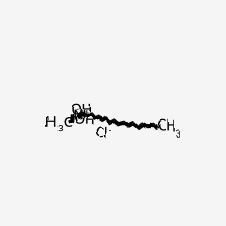 CCCCCCCCCCCCCCCCCCC[N+](O)(O)CCC.[Cl-]